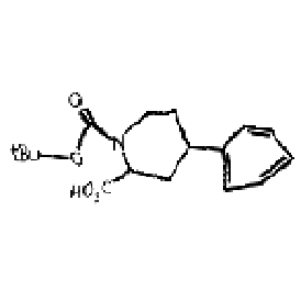 CC(C)(C)OC(=O)N1CCC(c2ccccc2)CC1C(=O)O